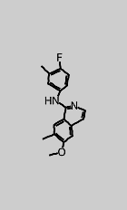 COc1cc2ccnc(Nc3ccc(F)c(C)c3)c2cc1C